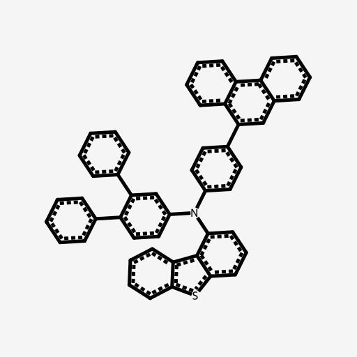 c1ccc(-c2ccc(N(c3ccc(-c4cc5ccccc5c5ccccc45)cc3)c3cccc4sc5ccccc5c34)cc2-c2ccccc2)cc1